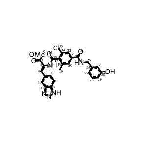 COC(=O)/C(=C/c1ccc2[nH]nnc2c1)NC(=O)c1c(C)cc(C(=O)NCc2cccc(O)c2)cc1Cl